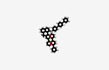 CC1(C)c2cc(-c3ccccc3)ccc2-c2c(N(c3ccc(-c4ccc(-c5ccccc5)cc4)cc3)c3ccc(-c4ccc(-c5ccccc5)cc4)cc3)ccc3cccc1c23